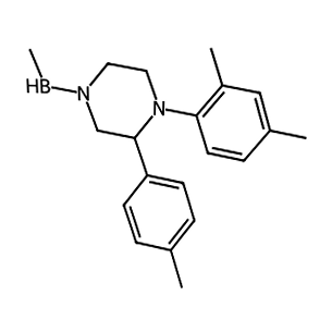 CBN1CCN(c2ccc(C)cc2C)C(c2ccc(C)cc2)C1